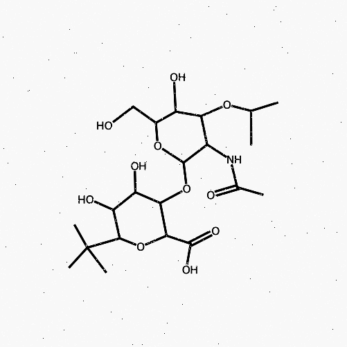 CC(=O)NC1C(OC2C(C(=O)O)OC(C(C)(C)C)C(O)C2O)OC(CO)C(O)C1OC(C)C